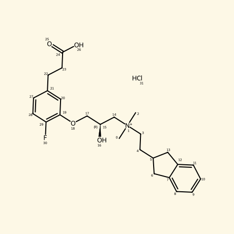 C[N+](C)(CCC1Cc2ccccc2C1)C[C@@H](O)COc1cc(CCC(=O)O)ccc1F.Cl